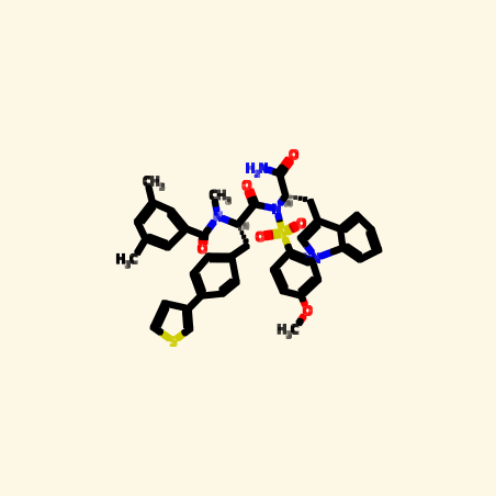 COc1ccc(S(=O)(=O)N(C(=O)[C@H](Cc2ccc(-c3ccsc3)cc2)N(C)C(=O)c2cc(C)cc(C)c2)[C@@H](Cc2c[nH]c3ccccc23)C(N)=O)cc1